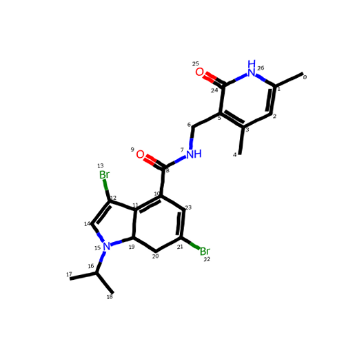 Cc1cc(C)c(CNC(=O)C2=C3C(Br)=CN(C(C)C)C3CC(Br)=C2)c(=O)[nH]1